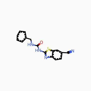 N#Cc1ccc2nc(NC(=O)NCc3ccccc3)sc2c1